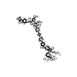 C=CCn1c(=O)c2cnc(Nc3ccc(N4CCN(C5CC(N6CCC(C(=O)N[C@H](C(=O)N7C[C@H](O)C[C@H]7C(=O)NCc7ccc(-c8scnc8C)cc7)C(C)(C)C)CC6)C5)CC4)cc3)nc2n1-c1cccc(C(C)(C)O)n1